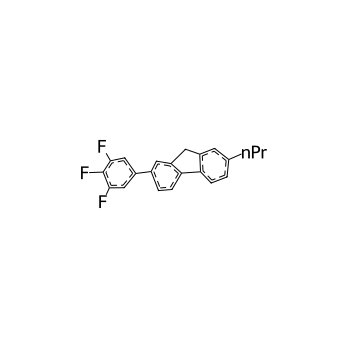 CCCc1ccc2c(c1)Cc1cc(-c3cc(F)c(F)c(F)c3)ccc1-2